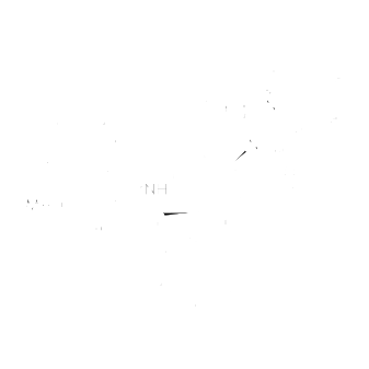 COc1ccccc1C(=O)NC[C@]1(c2ccccc2)CC[C@H](N2C(=O)C3CCCCN3C2=O)CC1